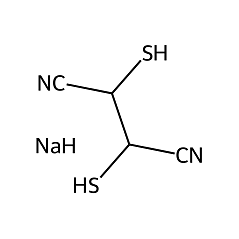 N#CC(S)C(S)C#N.[NaH]